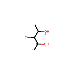 CC(O)C(Cl)C(C)O